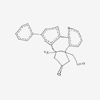 CC12CC(=O)CC1(CC=O)c1cccnc1-c1ccc(-c3ccccc3)cc12